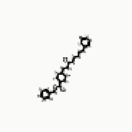 O=C(CCCCCC1C=CC=CC1)CCC1CCC(C(=O)OCc2ccccc2)CC1